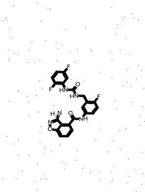 Nc1noc2cccc(C(=O)Nc3ccc(F)c(CNC(=O)Nc4cc(F)ccc4F)c3)c12